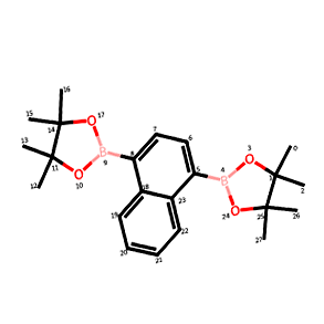 CC1(C)OB(c2ccc(B3OC(C)(C)C(C)(C)O3)c3ccccc23)OC1(C)C